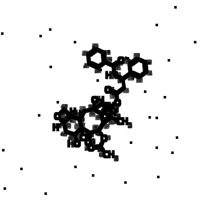 CC(=O)O[C@H]1C(=O)[C@@]2(C)[C@H](C[C@]3(O)C[C@H](OC(=O)C[C@@H](NC(=O)c4ccccc4)c4ccccc4)C(C)=C1C3(C)C)[C@@H]1CO[C@@H]1C[C@@H]2O